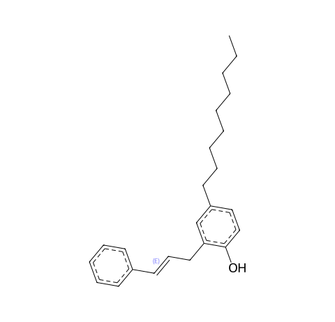 CCCCCCCCCc1ccc(O)c(C/C=C/c2ccccc2)c1